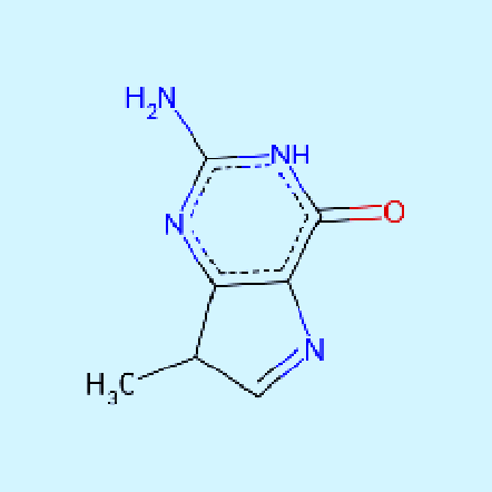 CC1C=Nc2c1nc(N)[nH]c2=O